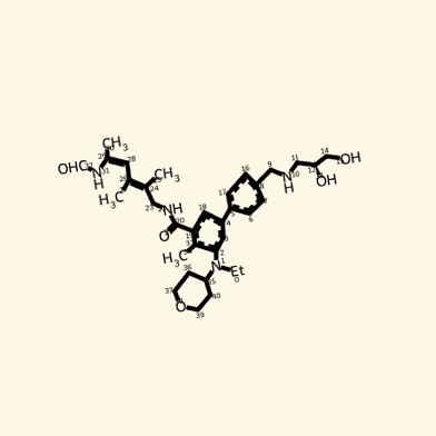 CCN(c1cc(-c2ccc(CNC[C@H](O)CO)cc2)cc(C(=O)NC/C(C)=C(C)/C=C(/C)NC=O)c1C)C1CCOCC1